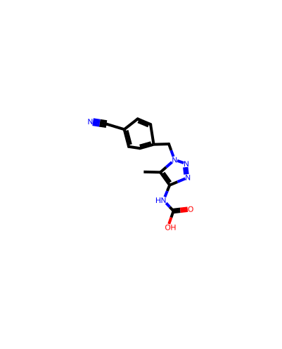 Cc1c(NC(=O)O)nnn1Cc1ccc(C#N)cc1